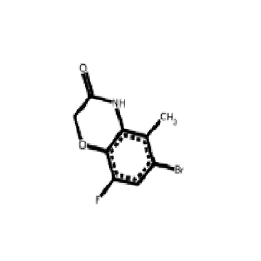 Cc1c(Br)cc(F)c2c1NC(=O)CO2